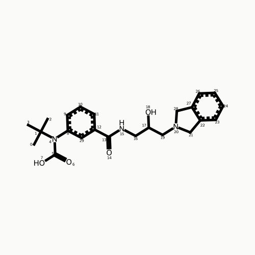 CC(C)(C)N(C(=O)O)c1cccc(C(=O)NCC(O)CN2Cc3ccccc3C2)c1